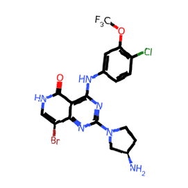 N[C@@H]1CCN(c2nc(Nc3ccc(Cl)c(OC(F)(F)F)c3)c3c(=O)[nH]cc(Br)c3n2)C1